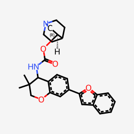 CC1(C)COc2cc(-c3cc4ccccc4o3)ccc2C1NC(=O)O[C@H]1CN2CCC1CC2